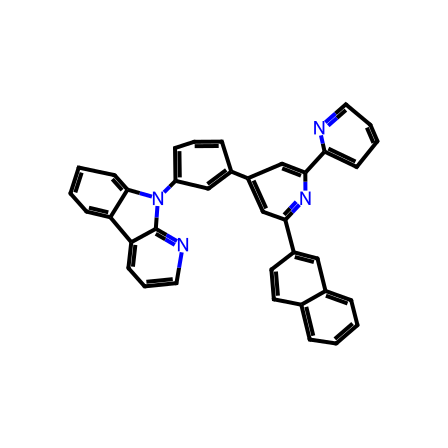 c1ccc(-c2cc(-c3cccc(-n4c5ccccc5c5cccnc54)c3)cc(-c3ccc4ccccc4c3)n2)nc1